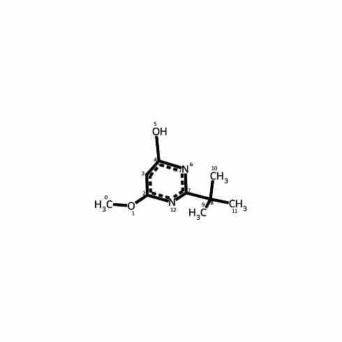 COc1cc(O)nc(C(C)(C)C)n1